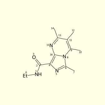 CCNC(=O)c1nc(C)n2c(C)c(C)c(C)nc12